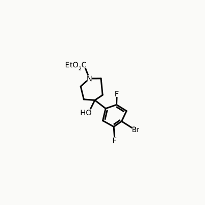 CCOC(=O)N1CCC(O)(c2cc(F)c(Br)cc2F)CC1